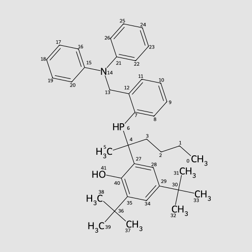 CCCCC(C)(Pc1ccccc1CN(c1ccccc1)c1ccccc1)c1cc(C(C)(C)C)cc(C(C)(C)C)c1O